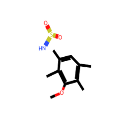 COc1c(C)c(C)cc(C)c1C.N=S(=O)=O